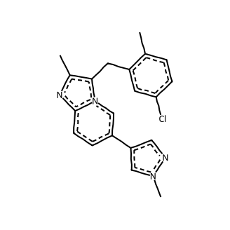 Cc1ccc(Cl)cc1Cc1c(C)nc2ccc(-c3cnn(C)c3)cn12